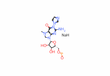 CN1CN([C@@H]2O[C@H](COP=O)[C@@H](O)[C@H]2O)c2nc(N)n(-n3ccnc3)c(=O)c21.[NaH]